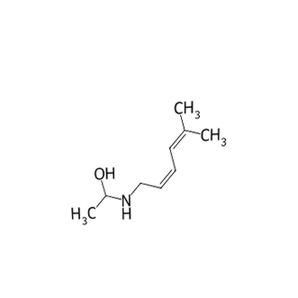 CC(C)=C/C=C\CNC(C)O